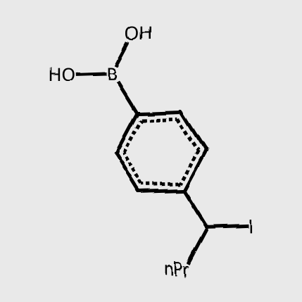 CCCC(I)c1ccc(B(O)O)cc1